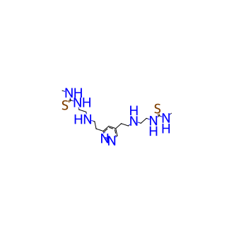 CNC(=S)NCCNCCc1cnnc(CCNCCNC(=S)NC)c1